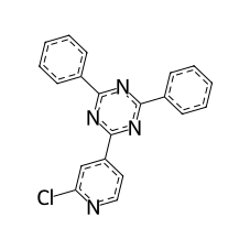 Clc1cc(-c2nc(-c3ccccc3)nc(-c3ccccc3)n2)ccn1